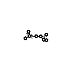 c1ccc(-c2cc3oc(-c4ccc(-c5ccc6c(c5)c5ccc7ccccc7c5n6-c5ccccc5)cc4)nc3c3c2oc2ccccc23)cc1